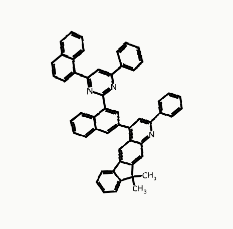 CC1(C)c2ccccc2-c2cc3c(-c4cc(-c5nc(-c6ccccc6)cc(-c6cccc7ccccc67)n5)c5ccccc5c4)cc(-c4ccccc4)nc3cc21